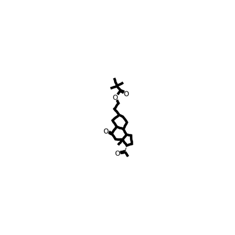 CC(=O)[C@H]1CCC2C3CCC(CCOC(=O)C(C)(C)C)CC3C(=O)CC21C